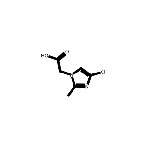 Cc1nc(Cl)cn1CC(=O)O